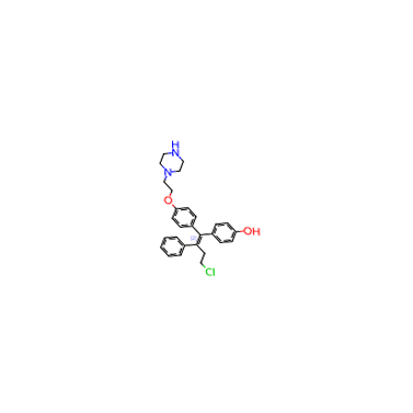 Oc1ccc(/C(=C(\CCCl)c2ccccc2)c2ccc(OCCN3CCNCC3)cc2)cc1